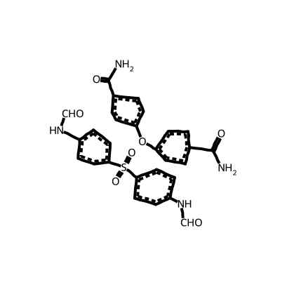 NC(=O)c1ccc(Oc2ccc(C(N)=O)cc2)cc1.O=CNc1ccc(S(=O)(=O)c2ccc(NC=O)cc2)cc1